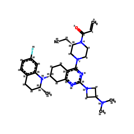 C=CC(=O)N1CCN(c2nc(N3CC(N(C)C)C3)nc3c2CC[C@@H](N2c4cc(F)ccc4CC[C@H]2C)C3)C[C@@H]1CC#N